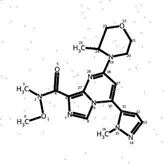 CON(C)C(=O)c1ncn2c(-c3ccnn3C)cc(N3CCOCC3C)nc12